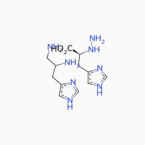 NCC(N)Cc1c[nH]cn1.NN[C@@H](Cc1c[nH]cn1)C(=O)O